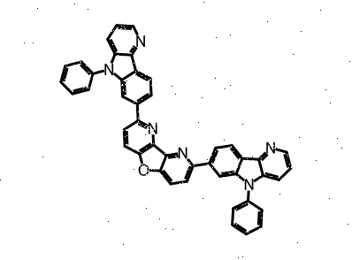 c1ccc(-n2c3cc(-c4ccc5oc6ccc(-c7ccc8c9ncccc9n(-c9ccccc9)c8c7)nc6c5n4)ccc3c3ncccc32)cc1